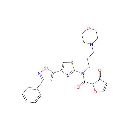 O=C1C=COC1C(=O)N(CCCN1CCOCC1)c1nc(-c2cc(-c3ccccc3)no2)cs1